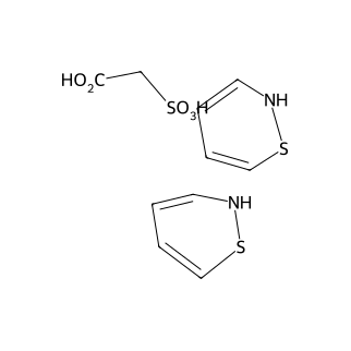 C1=CNSC=C1.C1=CNSC=C1.O=C(O)CS(=O)(=O)O